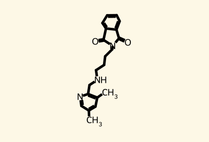 Cc1cnc(CNCCCCN2C(=O)c3ccccc3C2=O)c(C)c1